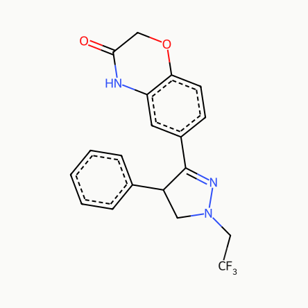 O=C1COc2ccc(C3=NN(CC(F)(F)F)CC3c3ccccc3)cc2N1